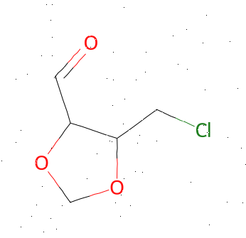 O=CC1OCOC1CCl